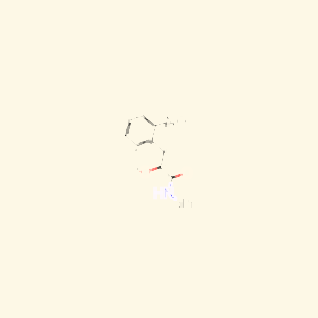 CC(C)NC(=O)C(=O)Cc1ccccc1[N+](=O)[O-]